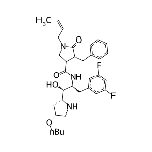 C/C=C\CN1CC(C(=O)N[C@@H](Cc2cc(F)cc(F)c2)[C@H](O)[C@H]2C[C@@H](OCCCC)CN2)C(Cc2ccccc2)C1=O